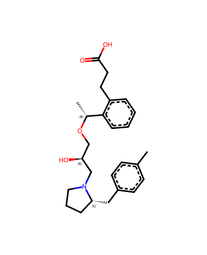 Cc1ccc(C[C@@H]2CCCN2C[C@@H](O)CO[C@H](C)c2ccccc2CCC(=O)O)cc1